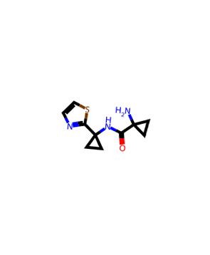 NC1(C(=O)NC2(c3nccs3)CC2)CC1